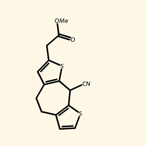 COC(=O)Cc1cc2c(s1)C(C#N)c1sccc1CC2